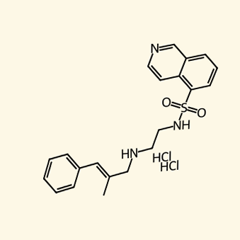 CC(=Cc1ccccc1)CNCCNS(=O)(=O)c1cccc2cnccc12.Cl.Cl